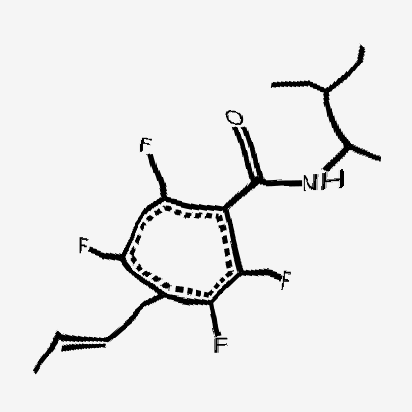 C/C=C/c1c(F)c(F)c(C(=O)NC(C)C(C)C)c(F)c1F